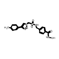 Cc1ccc(-c2cn(CS(=O)(=O)NCc3ccc(C(=O)NO)cc3)nn2)cc1